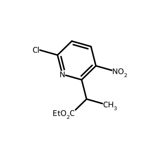 CCOC(=O)C(C)c1nc(Cl)ccc1[N+](=O)[O-]